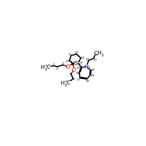 CCCCOC1(OCCC)CCCC[SiH]1C1=CC=CC=CN1CCC